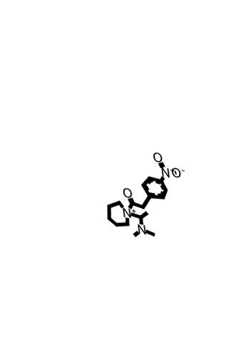 CC(N(C)C)[N+]1(C(=O)Cc2ccc([N+](=O)[O-])cc2)CCCCC1